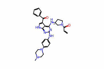 C=CC(=O)N1CC[C@H](Nc2nc(Nc3ccc(N4CCN(C)CC4)cc3)nc3[nH]cc(C(=O)c4ccccc4)c23)C1